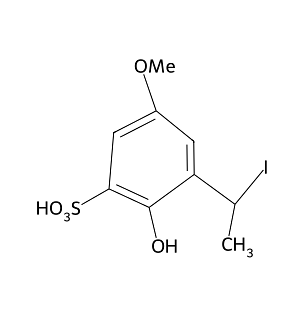 COc1cc(C(C)I)c(O)c(S(=O)(=O)O)c1